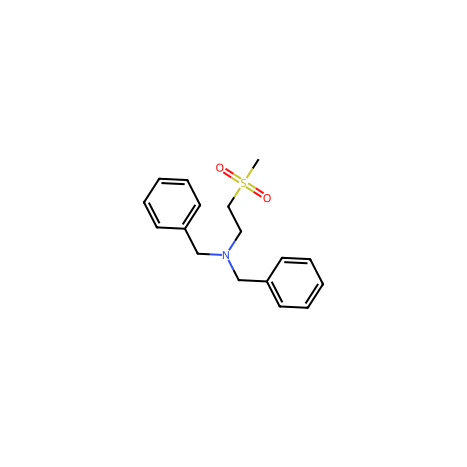 CS(=O)(=O)CCN(Cc1ccccc1)Cc1ccccc1